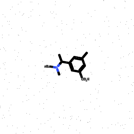 CCCCN(C)C(C)c1cc(C)cc(C(=O)O)c1